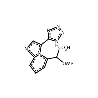 COC(C(=O)O)c1cccc2ncc(-c3nnn[nH]3)n12